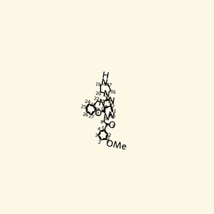 COc1cccc(C(=O)Cn2ncc3nc(N4CCNCC4)n(Cc4ccccc4)c3c2=O)c1